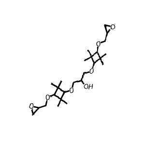 CC1(C)C(OCC(O)COC2C(C)(C)C(OCC3CO3)C2(C)C)C(C)(C)C1OCC1CO1